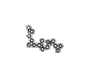 C1=Cc2sc3c(-c4cccc(-c5ccc6c(c5)c5ccccc5c5ccc(-c7cc(-c8ccccc8)c8sc9c(-c%10cccc(-c%11cccc%12c%11sc%11c(-c%13ccc%14c%15ccccc%15c%15ccccc%15c%14c%13)cccc%11%12)c%10)cccc9c8c7)cc56)c4)cccc3c2CC1